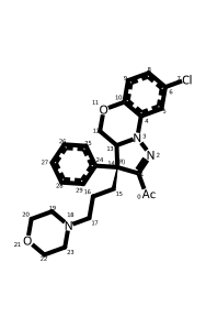 CC(=O)C1=NN2c3cc(Cl)ccc3OCC2[C@@]1(CCCN1CCOCC1)c1ccccc1